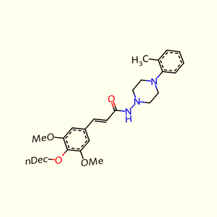 CCCCCCCCCCOc1c(OC)cc(/C=C/C(=O)NN2CCN(c3ccccc3C)CC2)cc1OC